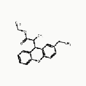 CCOC(=O)C(C)C1c2ccccc2Oc2ccc(CC)cc21